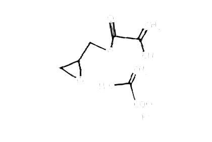 C=C(C)C(=O)OCC1CO1.C=C(C)C(=O)[O-].[K+]